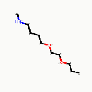 CCCOCCOCCCCNC